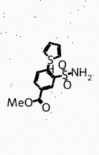 COC(=O)c1ccc([SH]2C=CC=C2)c(S(N)(=O)=O)c1